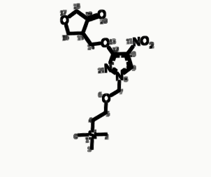 C[Si](C)(C)CCOCn1cc([N+](=O)[O-])c(OCC2COCC2=O)n1